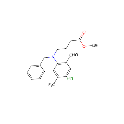 CC(C)(C)OC(=O)CCCN(Cc1ccccc1)c1cc(C(F)(F)F)ccc1C=O.Cl